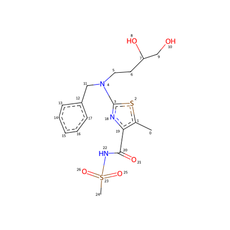 Cc1sc(N(CCC(O)CO)Cc2ccccc2)nc1C(=O)NS(C)(=O)=O